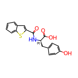 O=C(N[C@H](Cc1ccc(O)cc1)C(=O)O)c1cc2ccccc2s1